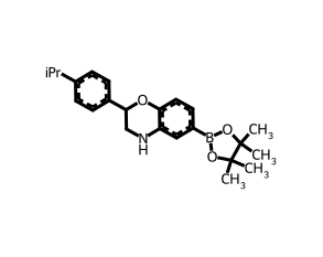 CC(C)c1ccc(C2CNc3cc(B4OC(C)(C)C(C)(C)O4)ccc3O2)cc1